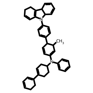 CC1C=C(N(c2ccccc2)C2CC=C(C3=CC=CCC3)CC2)C=CC1c1ccc(N2C3=C(CCC=C3)C3C=CC=CC32)cc1